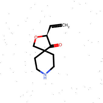 C=C[C@@H]1OCC2(CCNCC2)C1=O